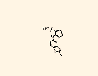 CCOC(=O)c1cccnc1Oc1ccc2nc(C)sc2c1